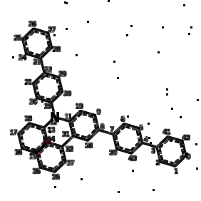 c1ccc(-c2ccc(-c3ccc(N(c4ccccc4)c4ccc(-c5ccccc5)cc4)c(-c4ccccc4)c3)cc2)cc1